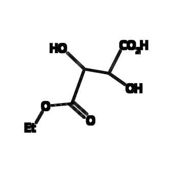 CCOC(=O)C(O)C(O)C(=O)O